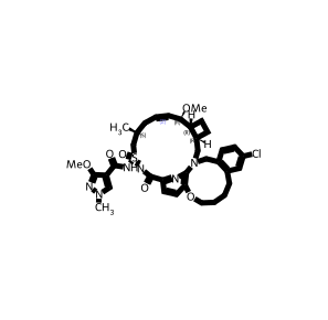 COc1nn(C)cc1C(=O)NS1(=O)=NC(=O)c2ccc3c(n2)N(Cc2ccc(Cl)cc2CCCCO3)C[C@@H]2CC[C@H]2[C@@H](OC)/C=C\C[C@H](C)C1